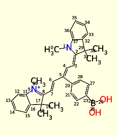 CN1\C(=C/C=C(/C=C/C2=[N+](C)c3ccccc3C2(C)C)c2ccc(B(O)O)cc2)C(C)(C)c2ccccc21